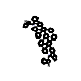 C(=C1/c2ccccc2-c2ccc(-c3cc(-c4ccccc4)c(-c4ccc(-c5c(-c6ccccc6)cc(-c6ccc7c(c6)/C(=C/c6c[nH]c8ccccc68)c6ccccc6-7)c(-c6ccccc6)c5-c5ccccc5)cc4)c(-c4ccccc4)c3-c3ccccc3)cc21)/c1c[nH]c2ccccc12